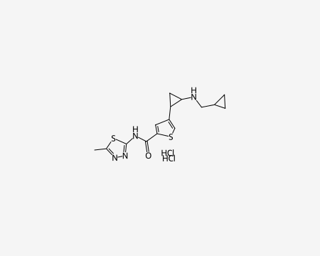 Cc1nnc(NC(=O)c2cc(C3CC3NCC3CC3)cs2)s1.Cl.Cl